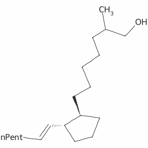 CCCCCC=C[C@H]1CCC[C@@H]1CCCCCC(C)CO